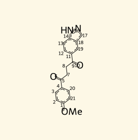 COc1ccc(C(=O)CCC(=O)c2ccc3[nH]ncc3c2)cc1